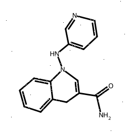 NC(=O)C1=CN(Nc2cccnc2)c2ccccc2C1